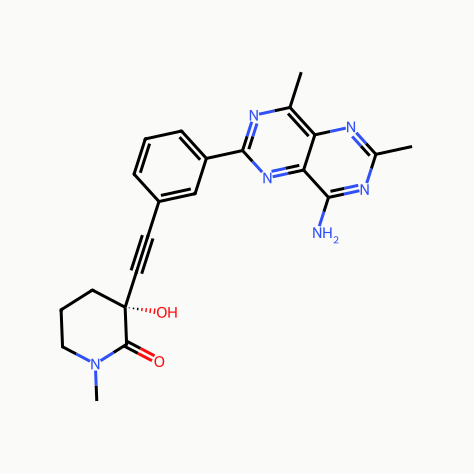 Cc1nc(N)c2nc(-c3cccc(C#C[C@]4(O)CCCN(C)C4=O)c3)nc(C)c2n1